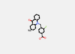 O=C([O-])c1ccc(Cn2c3ccccc3c(=O)c3ccccc32)c(F)c1.[Na+]